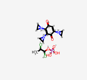 CC(Cl)C(Cl)OP(=O)(O)O.O=C1C=C(N2CC2)C(=O)C(N2CC2)=C1N1CC1